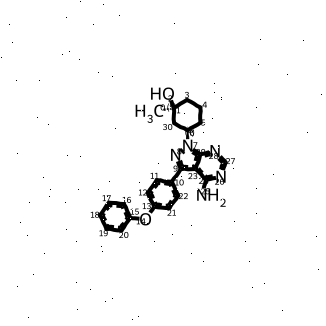 C[C@]1(O)CCC[C@@H](n2nc(-c3ccc(Oc4ccccc4)cc3)c3c(N)ncnc32)C1